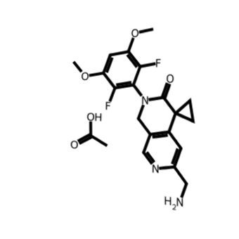 CC(=O)O.COc1cc(OC)c(F)c(N2Cc3cnc(CN)cc3C3(CC3)C2=O)c1F